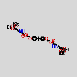 CCO[Si](CCCNCCC(=O)OCCOc1ccc(C(C)(C)c2ccc(OCCOC(=O)CCNCCC[Si](OCC)(OCC)OCC)cc2)cc1)(OCC)OCC